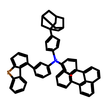 c1ccc(-c2cccc3cccc(-c4ccc(N(c5ccc(C67CC8CC(CC(C8)C6)C7)cc5)c5cccc(-c6cccc7sc8ccccc8c67)c5)cc4)c23)cc1